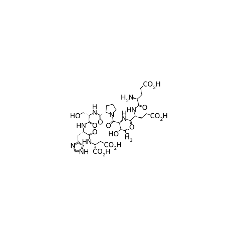 C[C@@H](O)[C@H](NC(=O)[C@H](CCC(=O)O)NC(=O)[C@@H](N)CCC(=O)O)C(=O)N1CCC[C@H]1C(=O)N[C@@H](CO)C(=O)N[C@@H](Cc1c[nH]cn1)C(=O)N[C@@H](CC(=O)O)C(=O)O